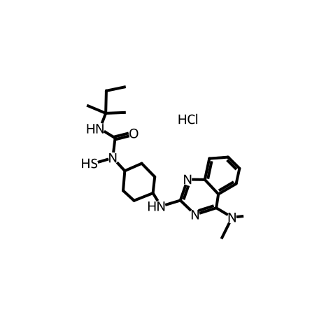 CCC(C)(C)NC(=O)N(S)C1CCC(Nc2nc(N(C)C)c3ccccc3n2)CC1.Cl